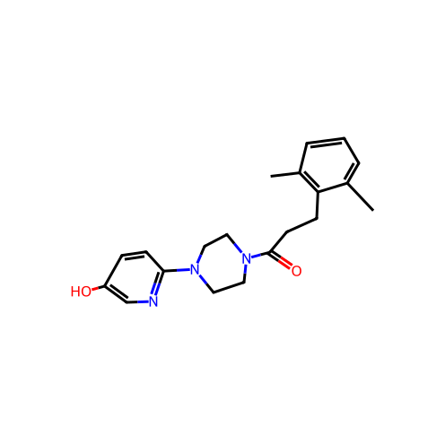 Cc1cccc(C)c1CCC(=O)N1CCN(c2ccc(O)cn2)CC1